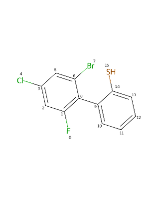 Fc1cc(Cl)cc(Br)c1-c1ccccc1S